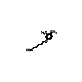 Cc1ccc(OCCCCCSS)cc1C